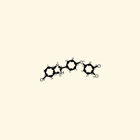 Clc1ccc2nc(-c3ccc(Oc4ccc(Cl)c(Cl)c4)cc3)[nH]c2c1